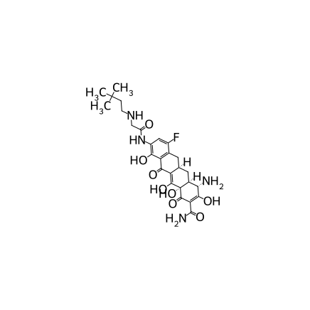 CC(C)(C)CCNCC(=O)Nc1cc(F)c2c(c1O)C(=O)C1=C(O)[C@]3(O)C(=O)C(C(N)=O)=C(O)[C@@H](N)[C@@H]3C[C@@H]1C2